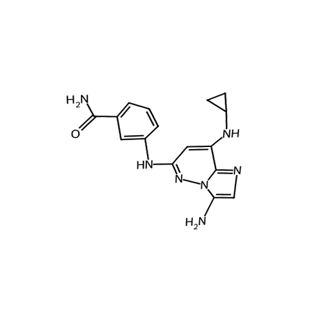 NC(=O)c1cccc(Nc2cc(NC3CC3)c3ncc(N)n3n2)c1